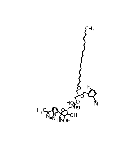 CCCCCCCCCCCCCCCCCCOC[C@H](COP(=O)(O)OC[C@H]1O[C@@](C=N)(c2ccc3c(C)ncnn23)[C@H](O)[C@@H]1O)OCc1cc(C#N)ccc1F